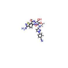 N#Cc1ccc(-n2ccc(N3CCO[C@H](C(O)c4nc(=O)c5c(ccc6c(N)nsc65)[nH]4)C3=O)n2)cc1